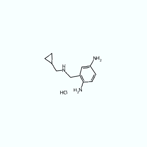 Cl.Nc1ccc(N)c(CNCC2CC2)c1